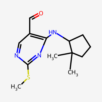 CSc1ncc(C=O)c(NC2CCCC2(C)C)n1